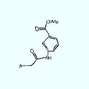 COC(=O)c1cccc(NC(=O)CBr)c1